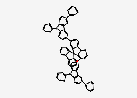 c1ccc(-c2ccc3c(c2)c2cc(-c4ccc5c(c4)C4(c6ccccc6-c6ccccc64)c4c(-c6ccc7c(c6)c6cc(-c8ccccc8)ccc6n7-c6ccccc6)cccc4-5)ccc2n3-c2ccccc2)cc1